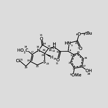 COc1cc(C(NC(=O)OC(C)(C)C)C(=O)N[C@@H]2C(=O)N3C(C(=O)O)=C(CCl)CS[C@@H]23)ccc1O